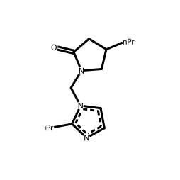 CCCC1CC(=O)N(Cn2ccnc2C(C)C)C1